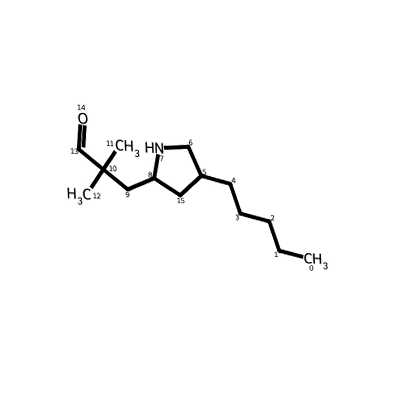 CCCCCC1CNC(CC(C)(C)C=O)C1